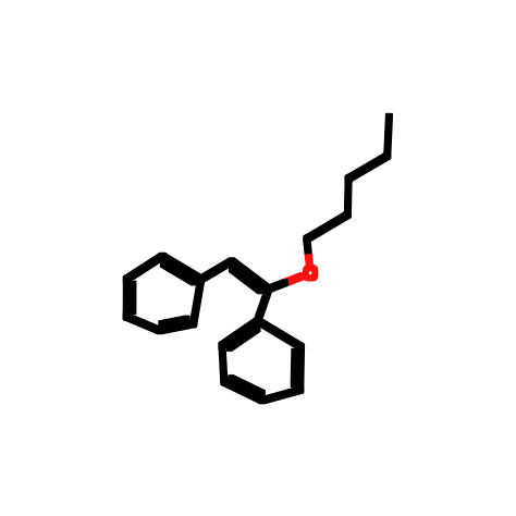 CCCCCO/C(=C/c1ccccc1)c1ccccc1